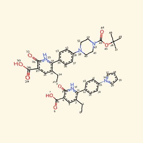 CCc1cc(C(=O)O)c(=O)[nH]c1-c1ccc(-n2cccc2)cc1.CCc1cc(C(=O)O)c(=O)[nH]c1-c1ccc(N2CCN(C(=O)OC(C)(C)C)CC2)cc1